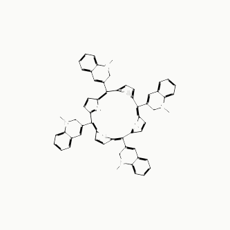 CN1CC(c2c3nc(c(C4=Cc5ccccc5N(C)C4)c4ccc([nH]4)c(C4=Cc5ccccc5N(C)C4)c4nc(c(C5=Cc6ccccc6N(C)C5)c5ccc2[nH]5)C=C4)C=C3)=Cc2ccccc21